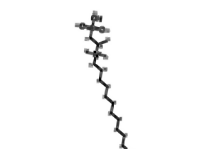 CCCCCCCCCCCC[N+](C)(C)C(C)CS(=O)(=O)O